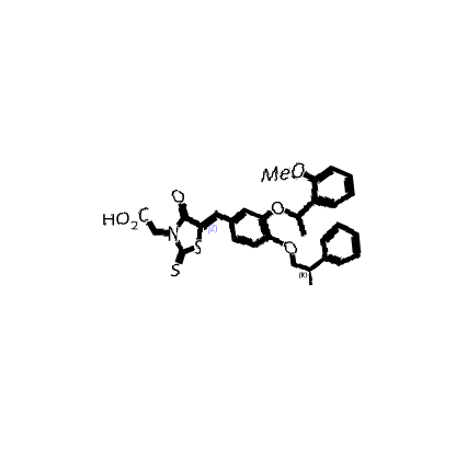 COc1ccccc1C(C)Oc1cc(/C=C2\SC(=S)N(CC(=O)O)C2=O)ccc1OC[C@H](C)c1ccccc1